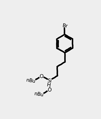 CCCCO[SiH](CCCc1ccc(Br)cc1)OCCCC